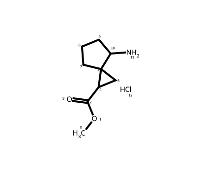 COC(=O)C1CC12CCCC2N.Cl